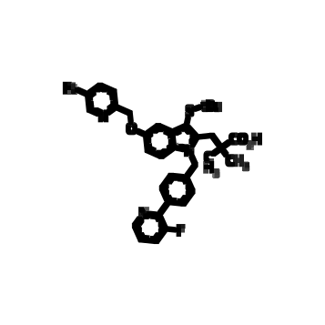 CCc1ccc(COc2ccc3c(c2)c(SC(C)(C)C)c(CC(C)(C)C(=O)O)n3Cc2ccc(-c3ncccc3F)cc2)nc1